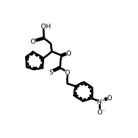 O=C(O)CC(C(=O)C(=S)OCc1ccc([N+](=O)[O-])cc1)c1ccccc1